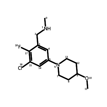 CNCc1cc(N2CCC(OC)CC2)cc(Cl)c1F